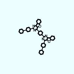 c1ccc(-c2ccc(-c3nc(-c4ccc(-c5nc(-c6ccc(-c7ccccc7)cc6)c6oc7ccccc7c6n5)cc4)c4oc5ccccc5c4n3)cc2)cc1